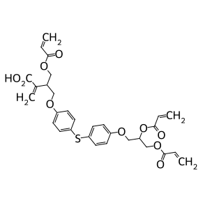 C=CC(=O)OCC(COc1ccc(Sc2ccc(OCC(COC(=O)C=C)C(=C)C(=O)O)cc2)cc1)OC(=O)C=C